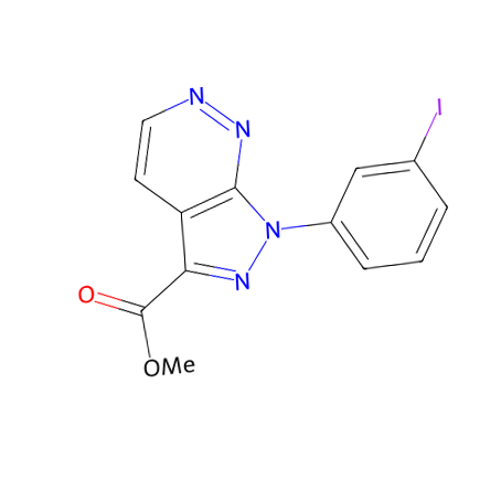 COC(=O)c1nn(-c2cccc(I)c2)c2nnccc12